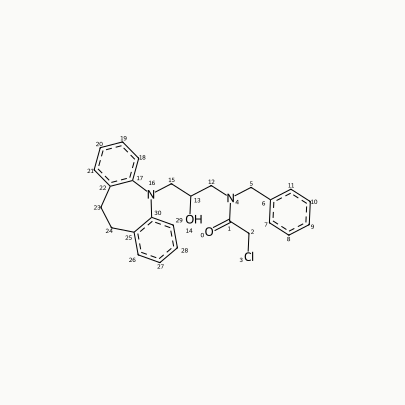 O=C(CCl)N(Cc1ccccc1)CC(O)CN1c2ccccc2CCc2ccccc21